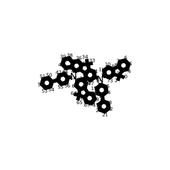 CC1(C)c2ccccc2-c2ccc(N(c3ccc(-c4ccccc4)cc3)c3ccc4c(c3)C(C)(C)c3cc5ccccc5c(N(c5ccc(-c6ccccc6)cc5)c5ccc6c(c5)C(C)(C)c5ccccc5-6)c3-4)cc21